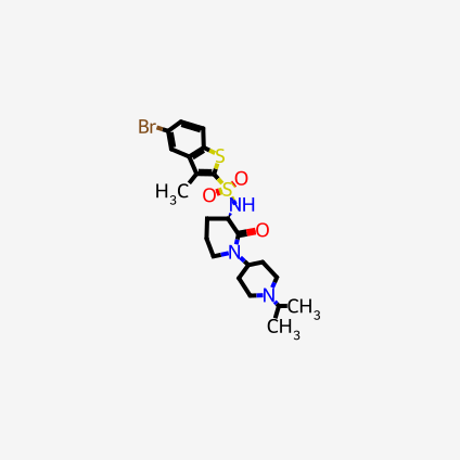 Cc1c(S(=O)(=O)N[C@H]2CCCN(C3CCN(C(C)C)CC3)C2=O)sc2ccc(Br)cc12